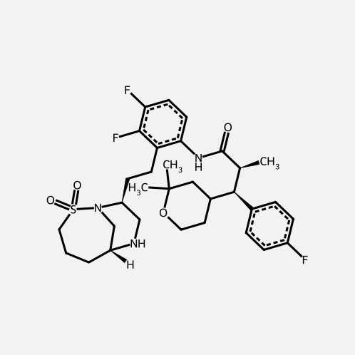 C[C@H](C(=O)Nc1ccc(F)c(F)c1CC[C@H]1CN[C@@H]2CCCS(=O)(=O)N1C2)[C@@H](c1ccc(F)cc1)C1CCOC(C)(C)C1